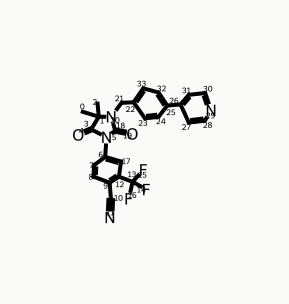 CC1(C)C(=O)N(c2ccc(C#N)c(C(F)(F)F)c2)C(=O)N1Cc1ccc(-c2ccncc2)cc1